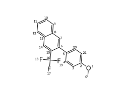 COc1ccc(-c2cc3ccccc3cc2C(F)(F)F)cc1